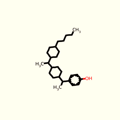 CCCCCC1CCC(C(C)C2CCC(C(C)c3ccc(O)cc3)CC2)CC1